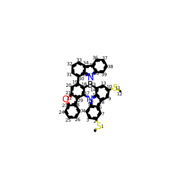 CSc1ccc2c(c1)c1cc(SC)cc3c1n2-c1c2c(cc4oc5ccccc5c14)-c1cccc4c5ccccc5n(c14)B23